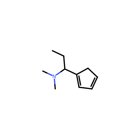 CCC(C1=CC=CC1)N(C)C